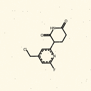 O=C1CCC(c2cc(CCl)cc(F)n2)C(=O)N1